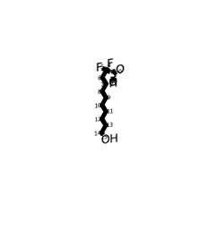 O=[SH](=O)C(F)(F)CCCCCCCCCO